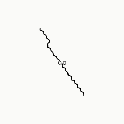 CCCCCC/C=C\C=C/CCCCCCCOC(=O)CCC/C=C/CCCCCCCCCC